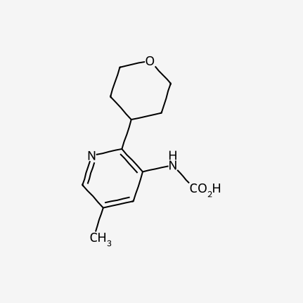 Cc1cnc(C2CCOCC2)c(NC(=O)O)c1